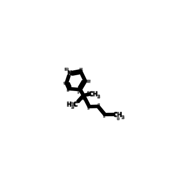 CCCCC(C)(C)c1ccncc1